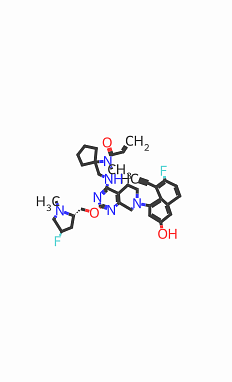 C#Cc1c(F)ccc2cc(O)cc(N3CCc4c(nc(OC[C@@H]5C[C@@H](F)CN5C)nc4NCC4(N(C)C(=O)C=C)CCCC4)C3)c12